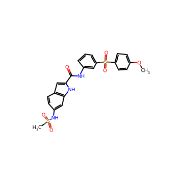 COc1ccc(S(=O)(=O)c2cccc(NC(=O)c3cc4ccc(NS(C)(=O)=O)cc4[nH]3)c2)cc1